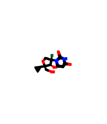 O=c1ccn([C@@]2(Cl)CO[C@@](CO)(C3CC3)[C@H]2O)c(=O)[nH]1